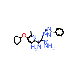 Cc1nc(/C(N)=C(\Cn2cnc(-c3ccccc3)n2)N(C)N)ccc1OC1CCCCC1